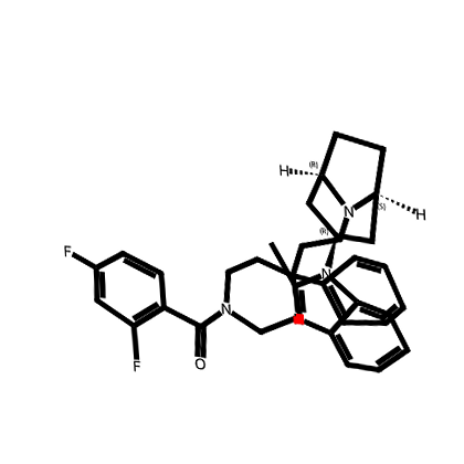 Cc1nc2ccccc2n1[C@H]1C[C@H]2CC[C@@H](C1)N2CCC1(c2ccccc2)CCN(C(=O)c2ccc(F)cc2F)CC1